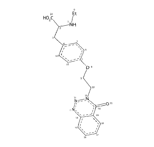 CCNC(Cc1ccc(OCCn2nnc3ccccc3c2=O)cc1)C(=O)O